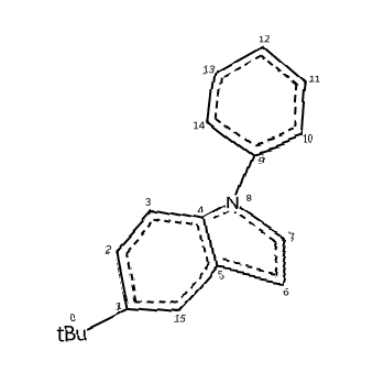 CC(C)(C)c1ccc2c(ccn2-c2ccccc2)c1